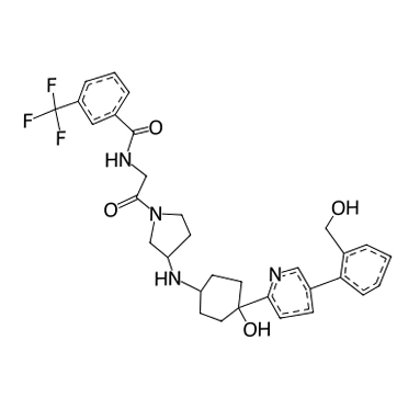 O=C(NCC(=O)N1CCC(NC2CCC(O)(c3ccc(-c4ccccc4CO)cn3)CC2)C1)c1cccc(C(F)(F)F)c1